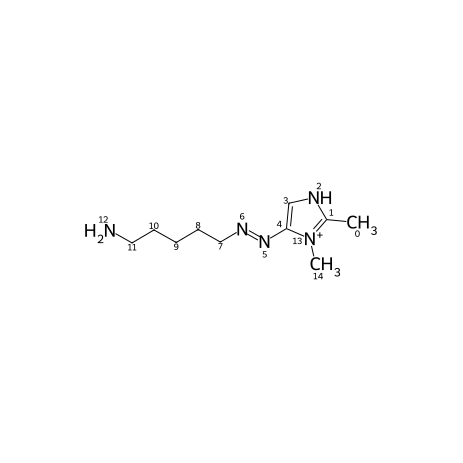 Cc1[nH]cc(N=NCCCCCN)[n+]1C